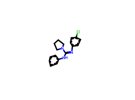 Clc1ccc(N=C(Nc2ccccc2)N2CCCC2)cc1